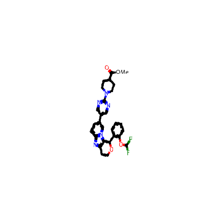 COC(=O)C1CCN(c2ncc(-c3ccc4nc5c(n4c3)C(c3ccccc3OC(F)F)OCC5)cn2)CC1